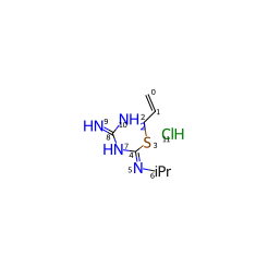 C=CCSC(=NC(C)C)NC(=N)N.Cl